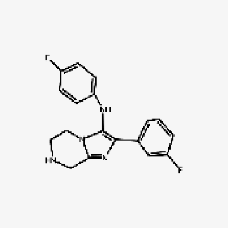 Fc1ccc(Nc2c(-c3cccc(F)c3)nc3n2CCNC3)cc1